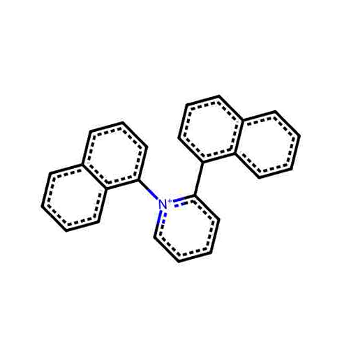 c1cc[n+](-c2cccc3ccccc23)c(-c2cccc3ccccc23)c1